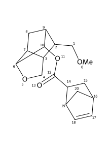 COCC1C2COC3C2CC1C3OC(=O)C1CC2C=CC1C2